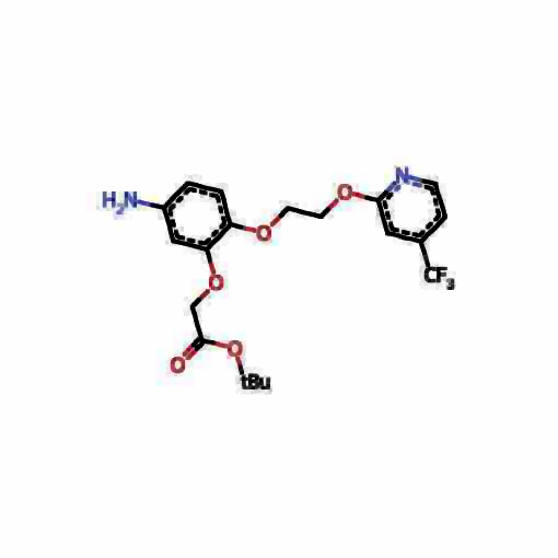 CC(C)(C)OC(=O)COc1cc(N)ccc1OCCOc1cc(C(F)(F)F)ccn1